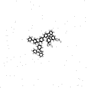 Cc1ccc(C2(c3ccc(C)cc3)c3ccccc3-c3ccc(-c4ccc(N(c5ccc(-c6ccccc6)cc5)c5ccc(-c6nc7c(n6-c6ccccc6)CCC=C7)cc5)cc4)cc32)cc1